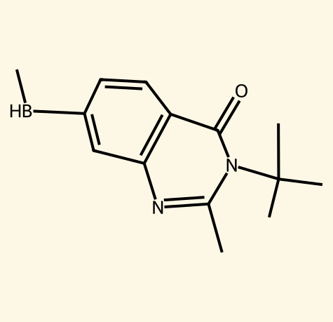 CBc1ccc2c(=O)n(C(C)(C)C)c(C)nc2c1